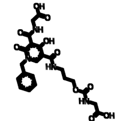 O=C(O)CNC(=O)OCCCNC(=O)c1cn(Cc2ccccc2)c(=O)c(C(=O)NCC(=O)O)c1O